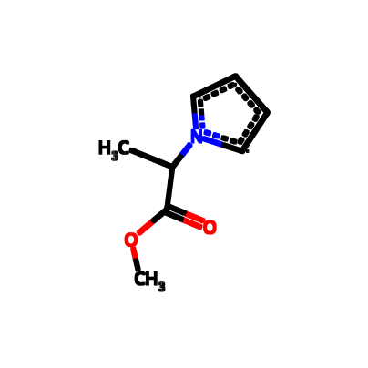 COC(=O)C(C)n1[c]ccc1